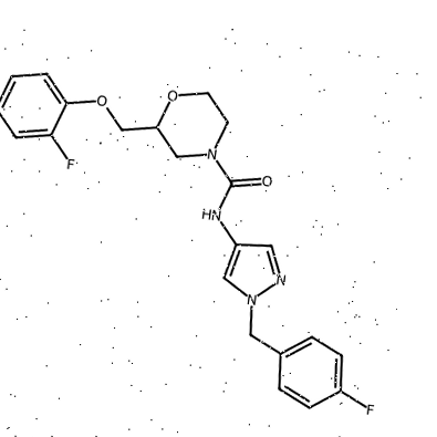 O=C(Nc1cnn(Cc2ccc(F)cc2)c1)N1CCOC(COc2ccccc2F)C1